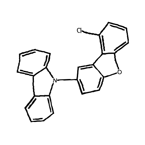 Clc1cccc2oc3ccc(-n4c5ccccc5c5ccccc54)cc3c12